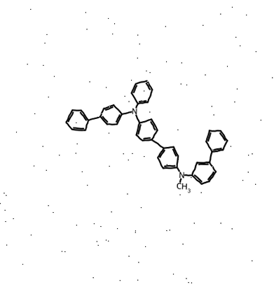 CN(c1ccc(-c2ccc(N(c3ccccc3)c3ccc(-c4ccccc4)cc3)cc2)cc1)c1cccc(-c2ccccc2)c1